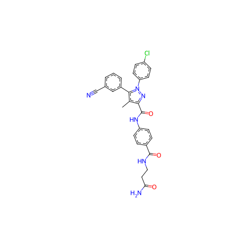 Cc1c(C(=O)Nc2ccc(C(=O)NCCC(N)=O)cc2)nn(-c2ccc(Cl)cc2)c1-c1cccc(C#N)c1